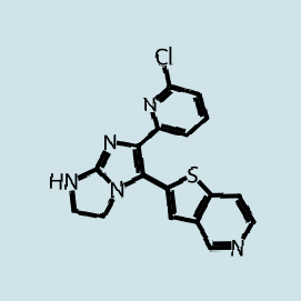 Clc1cccc(-c2nc3n(c2-c2cc4cnccc4s2)CCN3)n1